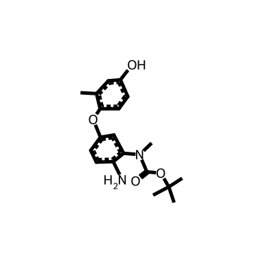 Cc1cc(O)ccc1Oc1ccc(N)c(N(C)C(=O)OC(C)(C)C)c1